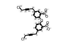 O=[N+]([O-])c1cc(CC#CCCl)ccc1Oc1ccc(CC#CCCl)cc1[N+](=O)[O-]